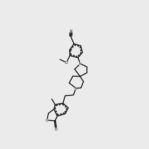 COc1cc(C#N)ccc1N1CCC2(CCN(CCc3ccc4c(c3C)COC4=O)CC2)C1